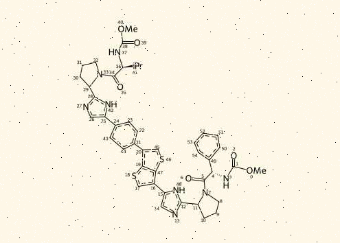 COC(=O)N[C@H](C(=O)N1CCCC1c1ncc(-c2csc3c(-c4ccc(-c5cnc(C6CCCN6C(=O)[C@@H](NC(=O)OC)C(C)C)[nH]5)cc4)csc23)[nH]1)c1ccccc1